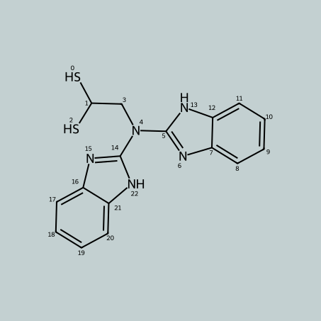 SC(S)CN(c1nc2ccccc2[nH]1)c1nc2ccccc2[nH]1